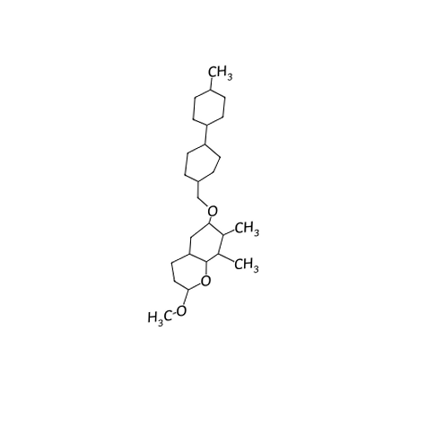 COC1CCC2CC(OCC3CCC(C4CCC(C)CC4)CC3)C(C)C(C)C2O1